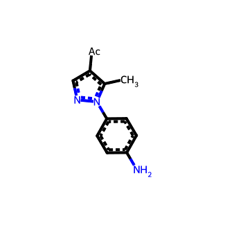 CC(=O)c1cnn(-c2ccc(N)cc2)c1C